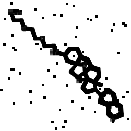 COCCOCCOCCNC1CCC2=CC3=CCC4(C)[C@@H](c5ccc6ccncc6c5)CC[C@H]4[C@@]34CC[C@]2(C1)O4